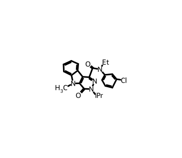 CCN(C(=O)c1nn(C(C)C)c(=O)c2c1c1ccccc1n2C)c1cccc(Cl)c1